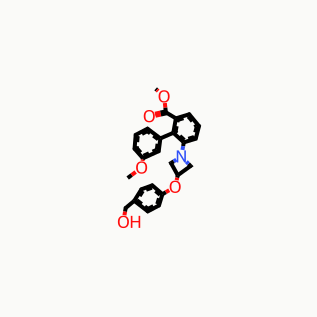 COC(=O)c1cccc(N2CC(Oc3ccc(CO)cc3)C2)c1-c1cccc(OC)c1